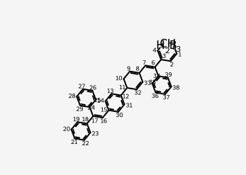 B\C=C/C(=C\C)C(=C/C1=CCC(c2ccc(C=C(c3ccccc3)c3ccccc3)cc2)C=C1)/c1ccccc1